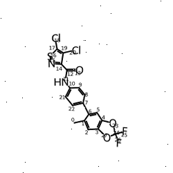 Cc1cc2c(cc1-c1ccc(NC(=O)c3nsc(Cl)c3Cl)cc1)OC(F)(F)O2